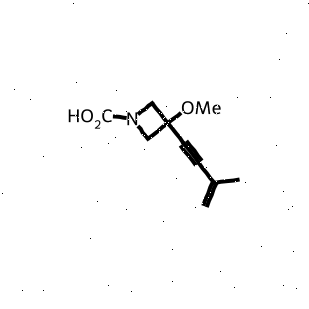 C=C(C)C#CC1(OC)CN(C(=O)O)C1